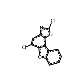 Clc1nc2cc(Cl)c3oc4ccccc4c3c2o1